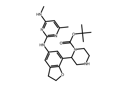 CNc1cc(C)nc(Nc2cc3c(c(C4CNCCN4C(=O)OC(C)(C)C)c2)OCC3)n1